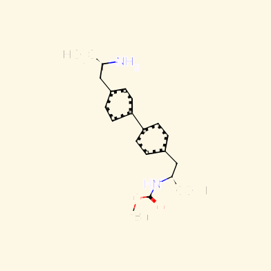 CC(C)(C)OC(=O)N[C@@H](Cc1ccc(-c2ccc(C[C@H](N)C(=O)O)cc2)cc1)C(=O)O